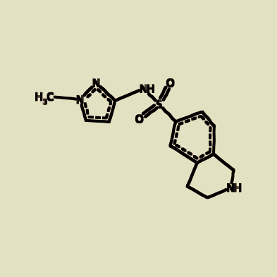 Cn1ccc(NS(=O)(=O)c2ccc3c(c2)CCNC3)n1